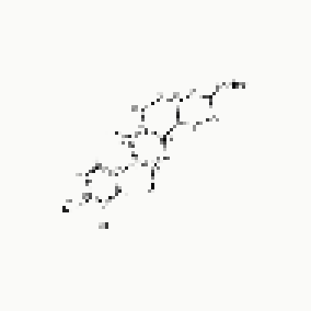 CCCCCCC1CCC2c3cc(F)c(-c4ccc(C#N)c(F)c4)c(F)c3CCC2C1